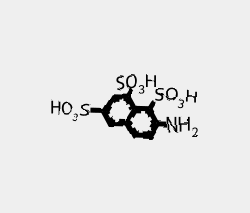 Nc1ccc2cc(S(=O)(=O)O)cc(S(=O)(=O)O)c2c1S(=O)(=O)O